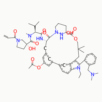 C=CC(=O)N1CC[C@](O)(C(=O)N(C)[C@H](C(=O)N[C@H]2Cc3cc(OC(C)=O)cc(c3)-c3ccc4c(c3)c(c(-c3ccccc3CN(C)C)n4CC)CC(C)(C)COC(=O)[C@@]3(O)CCCN(N3)C2=O)C(C)C)C1